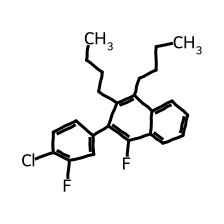 CCCCc1c(-c2ccc(Cl)c(F)c2)c(F)c2ccccc2c1CCCC